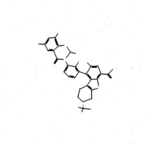 Cc1c(-c2c(Cl)cc(C(N)=O)c3[nH]c4c(c23)CC[C@H](C(C)(C)O)C4)cccc1N1C(=O)c2cc(F)cc(F)c2NC1O